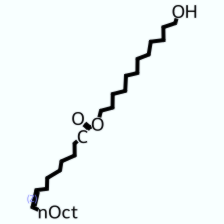 CCCCCCCC/C=C\CCCCCCCC(=O)OCCCCCCCCCCCCO